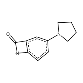 O=C1[N]c2ccc(N3CCCC3)cc21